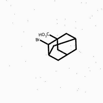 O=C(O)C12CC3CC(CC(C3)C1Br)C2